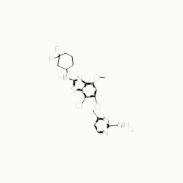 COc1cc(OCc2ccnc(N)n2)c(Cl)c2sc(NC3CCCC(F)(F)C3)nc12